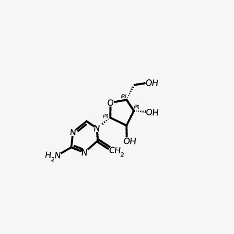 C=C1N=C(N)N=CN1[C@@H]1O[C@H](CO)[C@H](O)C1O